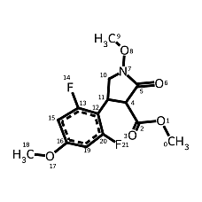 COC(=O)C1C(=O)N(OC)CC1c1c(F)cc(OC)cc1F